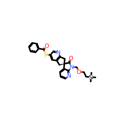 C[Si](C)(C)CCOCN1C(=O)[C@]2(Cc3cc(SC(=O)c4ccccc4)cnc3C2)c2cccnc21